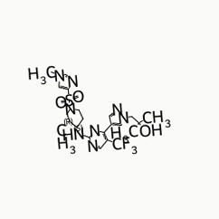 C[C@@H]1CN(S(=O)(=O)c2cn(C)cn2)CC[C@@H]1Nc1ncc(C(F)(F)F)c(-c2cnn(CC(C)(C)O)c2)n1